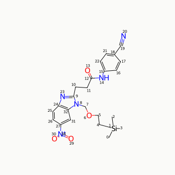 C[Si](C)(C)CCOCn1c(CCC(=O)Nc2ccc(C#N)cc2)nc2ccc([N+](=O)[O-])cc21